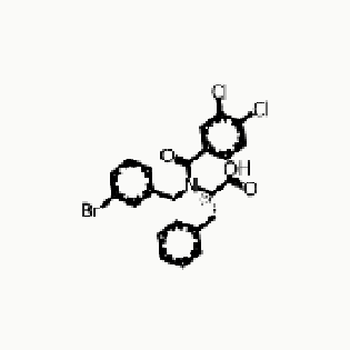 O=C(O)[C@H](Cc1ccccc1)N(Cc1cccc(Br)c1)C(=O)c1ccc(Cl)c(Cl)c1